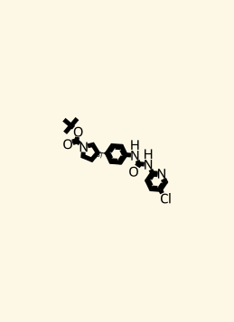 CC(C)(C)OC(=O)N1CC[C@@H](c2ccc(NC(=O)Nc3ccc(Cl)cn3)cc2)C1